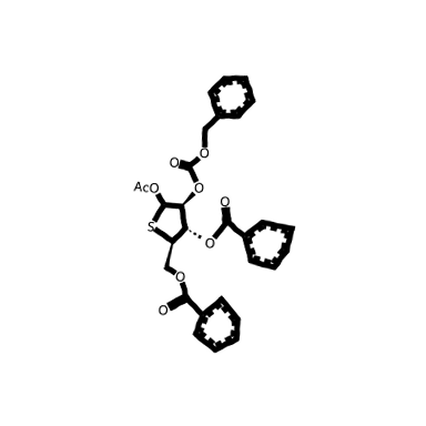 CC(=O)OC1S[C@H](COC(=O)c2ccccc2)[C@@H](OC(=O)c2ccccc2)[C@@H]1OC(=O)OCc1ccccc1